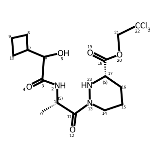 C[C@H](NC(=O)C(O)C1CCC1)C(=O)N1CCC[C@@H](C(=O)OCC(Cl)(Cl)Cl)N1